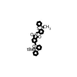 CN1c2ccccc2Sc2c(CN3C(=O)c4ccc(CO[Si](c5ccccc5)(c5ccccc5)C(C)(C)C)cc4C3=O)cccc21